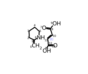 C=C1CCCCN1.O=C(O)/C=C/C(=O)O